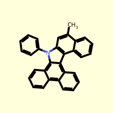 Cc1cc2c(c3ccccc13)c1c3ccccc3c3ccccc3c1n2-c1ccccc1